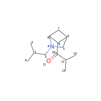 CC(C)CN1CC2CC1C2C(=O)C(C)C